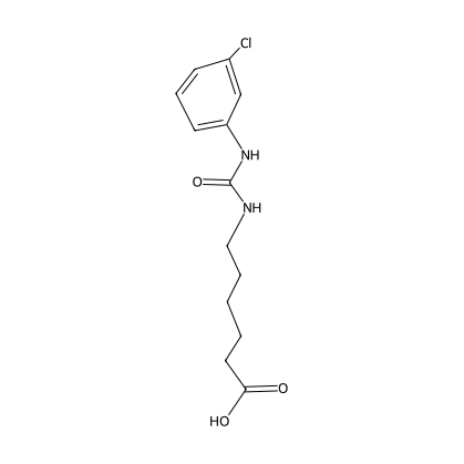 O=C(O)CCCCCNC(=O)Nc1cccc(Cl)c1